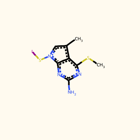 CSc1nc(N)nc2c1c(C)cn2SI